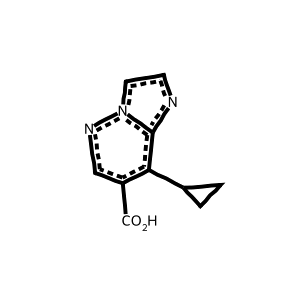 O=C(O)c1cnn2ccnc2c1C1CC1